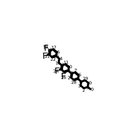 CC1CCC(c2ccc(-c3ccc(CCc4ccc(F)c(F)c4)c(F)c3F)cc2)CC1